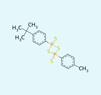 Cc1ccc(P2(=S)SP(=S)(c3ccc(C(C)(C)C)cc3)S2)cc1